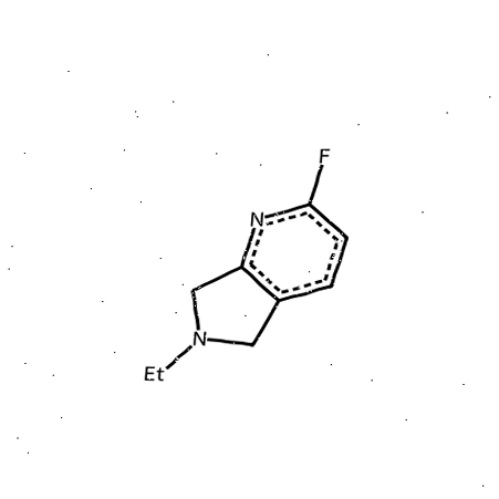 CCN1Cc2ccc(F)nc2C1